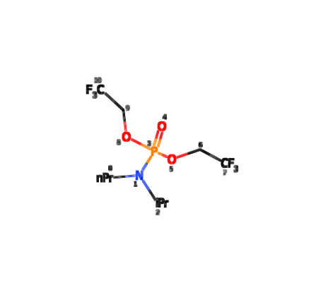 CCCN(C(C)C)P(=O)(OCC(F)(F)F)OCC(F)(F)F